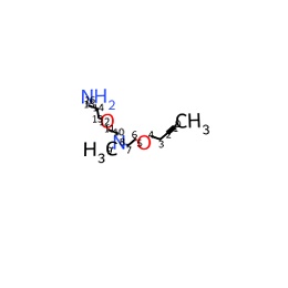 CC#CCCOCCN(C)CCOCCCN